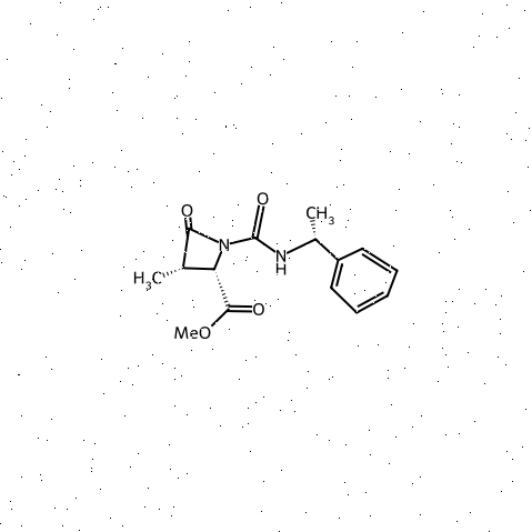 COC(=O)[C@@H]1[C@H](C)C(=O)N1C(=O)N[C@H](C)c1ccccc1